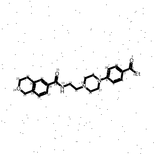 CCC(=O)c1ccc(N2CCN(CCNC(=O)c3ccc4c(c3)CCOC4)CC2)cc1